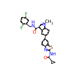 Cn1cc(C(=O)NCc2cc(F)ccc2F)c2cc(-c3ccc4nc(NC(=O)C5CC5)sc4c3)ccc21